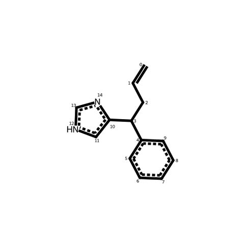 C=CCC(c1ccccc1)c1c[nH]cn1